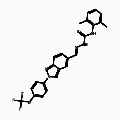 Cc1cccc(C)c1NC(=S)N/N=C/c1ccc2nn(-c3ccc(OC(F)(F)F)cc3)cc2c1